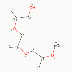 CCCCCCCCOC(C)COC(C)COC(C)CO